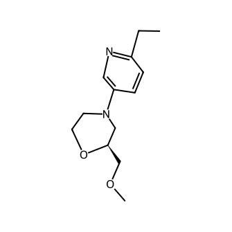 CCc1ccc(N2CCO[C@H](COC)C2)cn1